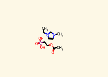 CC(=O)OCCP(=O)(O)O.CCN1C=CN(C)C1